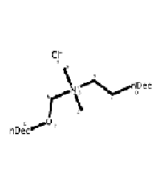 CCCCCCCCCCCC[N+](C)(C)COCCCCCCCCCC.[Cl-]